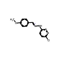 COc1ccc(/C=N/Nc2ccc(Cl)nn2)cc1